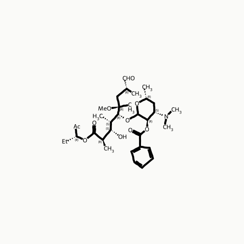 CC[C@@H](OC(=O)[C@H](C)[C@@H](O)[C@H](C)[C@@H](OC1O[C@H](C)C[C@H](N(C)C)[C@H]1OC(=O)c1ccccc1)[C@@](C)(C[C@@H](C)C=O)OC)C(C)=O